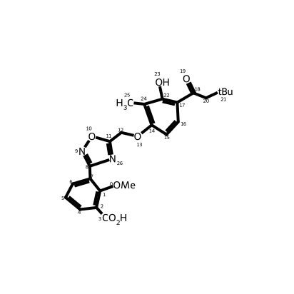 COc1c(C(=O)O)cccc1-c1noc(COc2ccc(C(=O)CC(C)(C)C)c(O)c2C)n1